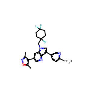 Cc1noc(C)c1-c1cnc2c(-c3ccc(C(=O)O)nc3)cn(CC3(F)CCC(F)(F)CC3)c2c1